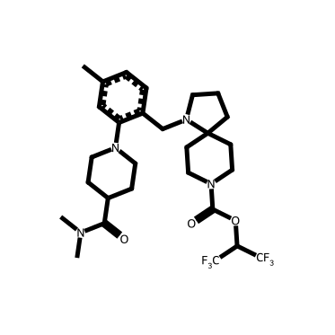 Cc1ccc(CN2CCCC23CCN(C(=O)OC(C(F)(F)F)C(F)(F)F)CC3)c(N2CCC(C(=O)N(C)C)CC2)c1